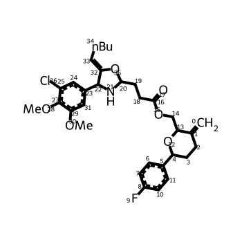 C=C1CCC(c2ccc(F)cc2)OC1COC(=O)CCC1NC(c2cc(Cl)c(OC)c(OC)c2)/C(=C/CCCC)O1